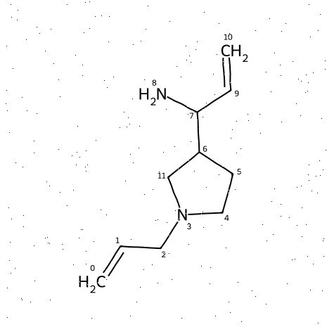 C=CCN1CCC(C(N)C=C)C1